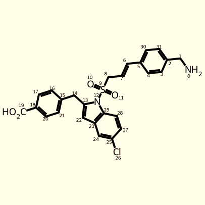 NCc1ccc(C=CCS(=O)(=O)n2c(Cc3ccc(C(=O)O)cc3)cc3cc(Cl)ccc32)cc1